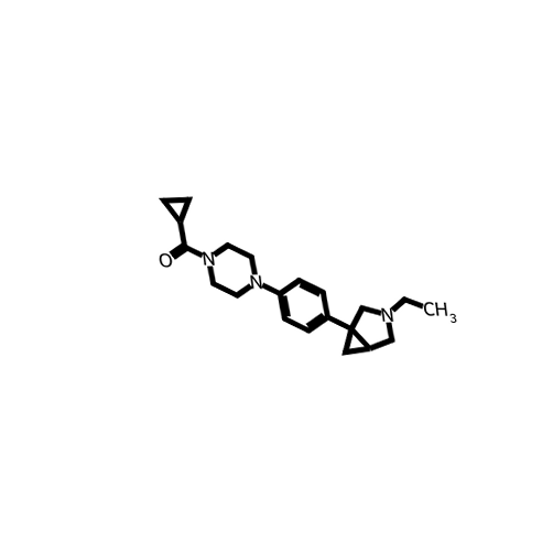 CCN1CC2CC2(c2ccc(N3CCN(C(=O)C4CC4)CC3)cc2)C1